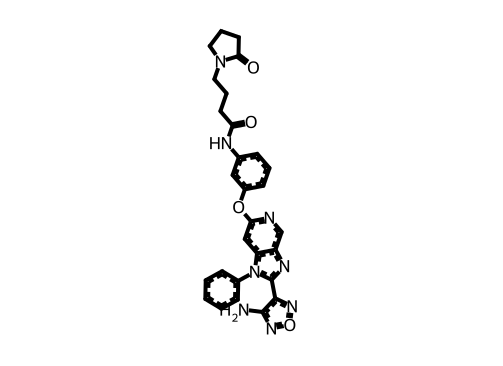 Nc1nonc1-c1nc2cnc(Oc3cccc(NC(=O)CCCN4CCCC4=O)c3)cc2n1-c1ccccc1